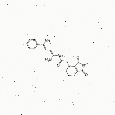 CN1C(=O)C2=C(C1=O)N(CC(=O)N/C(N)=C/C=C(\N)c1ccccc1)CCC2